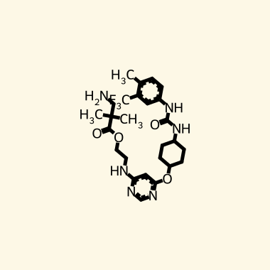 Cc1ccc(NC(=O)NC2CCC(Oc3cc(NCCOC(=O)C(C)(C)CN)ncn3)CC2)cc1C(F)(F)F